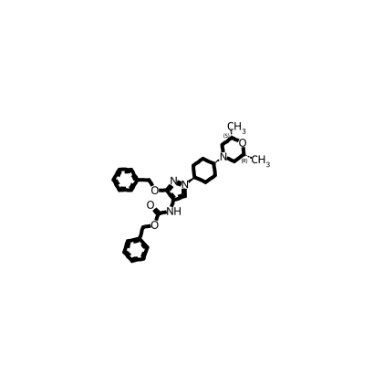 C[C@@H]1CN([C@H]2CC[C@H](n3cc(NC(=O)OCc4ccccc4)c(OCc4ccccc4)n3)CC2)C[C@H](C)O1